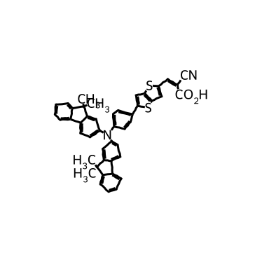 CC1(C)c2ccccc2-c2ccc(N(c3ccc(-c4cc5sc(/C=C(/C#N)C(=O)O)cc5s4)cc3)c3ccc4c(c3)C(C)(C)c3ccccc3-4)cc21